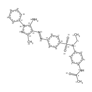 CCN(c1ccc(NC(C)=O)cc1)S(=O)(=O)c1ccc(/N=N/c2c(C)nn(-c3ccccc3)c2N)cc1